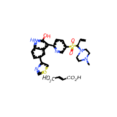 C=CC(N1CCN(C)CC1)S(=O)(=O)c1ccc(-c2c(O)[nH]c3ccc(-c4cscn4)cc23)nc1.O=C(O)/C=C/C(=O)O